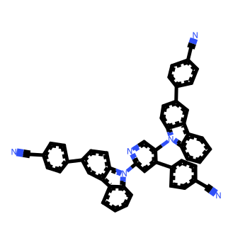 N#Cc1ccc(-c2ccc3c(c2)c2ccccc2n3-c2cc(-c3ccc(C#N)cc3)c(-n3c4ccccc4c4cc(-c5ccc(C#N)cc5)ccc43)cn2)cc1